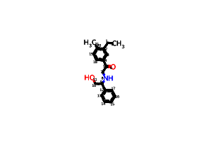 CCc1cc(C(=O)CNC(CO)c2ccccc2)ccc1C